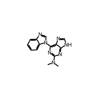 CN(C)c1nc(-n2cnc3ccccc32)c2nc[nH]c2n1